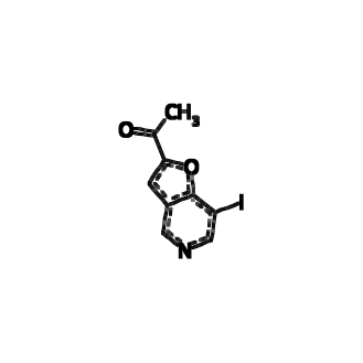 CC(=O)c1cc2cncc(I)c2o1